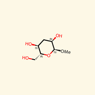 CO[C@H]1O[C@H](CO)[C@@H](O)C[C@H]1O